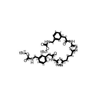 CC(C)(C)OC(=O)NCc1cccc(CC(=O)Nc2nnc(CCCc3nnc(NC(=O)Cc4cccc(CNC(=O)OC(C)(C)C)c4)s3)s2)c1